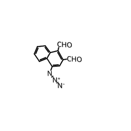 [N-]=[N+]=Nc1cc(C=O)c(C=O)c2ccccc12